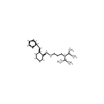 CC(C)N(CCCO/N=C1\CCCC\C1=C/c1ccccc1)C(C)C